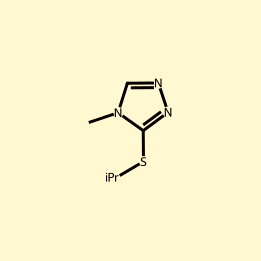 CC(C)Sc1nncn1C